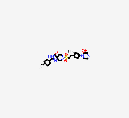 Cc1cc(N2CCNCC2O)ccc1CCS(=O)(=O)N1CCC2(CC1)N=C(C1CCC(C)CC1)NC2=O